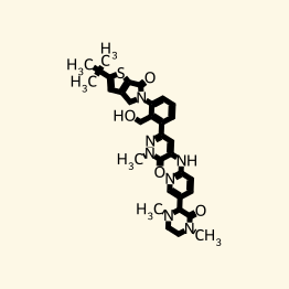 CN1CCN(C)C(c2ccc(Nc3cc(-c4cccc(N5Cc6cc(C(C)(C)C)sc6C5=O)c4CO)nn(C)c3=O)nc2)C1=O